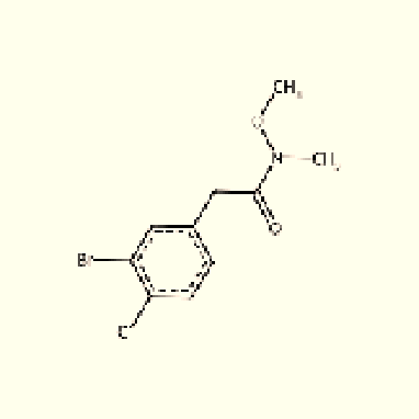 CON(C)C(=O)Cc1ccc(Cl)c(Br)c1